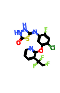 O=c1[nH][nH]/c(=N/c2cc(Oc3ncccc3C(F)(F)CF)c(Cl)cc2F)s1